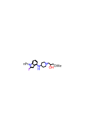 CCCn1c(I)cc2c(NC3CCN(CC(O)COC)CC3)cccc21